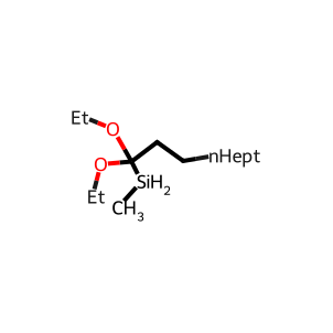 CCCCCCCCCC(OCC)(OCC)[SiH2]C